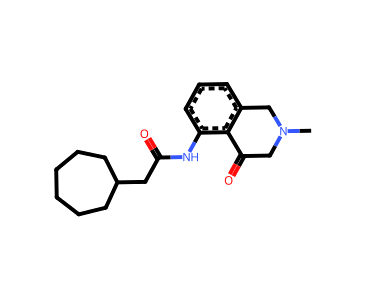 CN1CC(=O)c2c(cccc2NC(=O)CC2CCCCCC2)C1